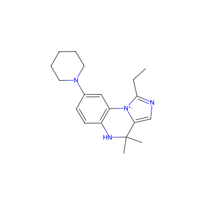 CCC1=NC=C2[N+]1c1cc(N3CCCCC3)ccc1NC2(C)C